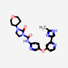 Cc1nc(-c2cc(Oc3ccc(NC(=O)N4CCN(C5CCOCC5)C4=O)nc3)ccn2)c[nH]1